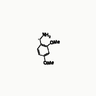 COc1ccc([CH]N)c(OC)c1